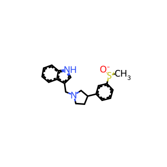 C[S+]([O-])c1cccc(C2CCN(Cc3c[nH]c4ccccc34)C2)c1